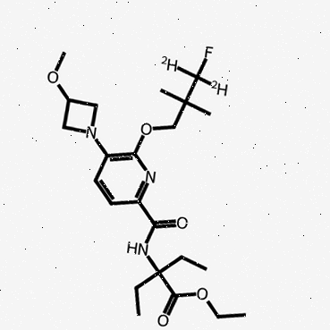 [2H]C([2H])(F)C(C)(C)COc1nc(C(=O)NC(CC)(CC)C(=O)OCC)ccc1N1CC(OC)C1